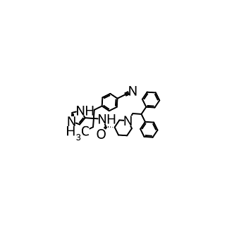 CCC(Cc1ccc(C#N)cc1)(NC(=O)[C@H]1CCCN(CC(c2ccccc2)c2ccccc2)C1)c1cnc[nH]1